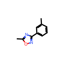 Cc1cccc(-c2noc(C)n2)c1